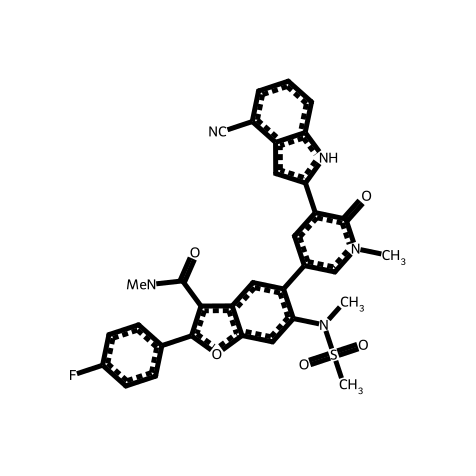 CNC(=O)c1c(-c2ccc(F)cc2)oc2cc(N(C)S(C)(=O)=O)c(-c3cc(-c4cc5c(C#N)cccc5[nH]4)c(=O)n(C)c3)cc12